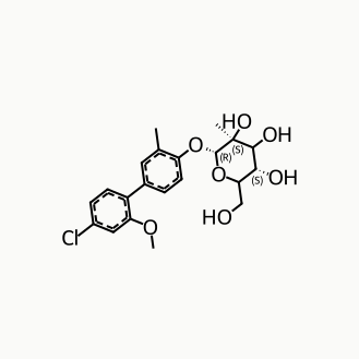 COc1cc(Cl)ccc1-c1ccc(O[C@H]2OC(CO)[C@@H](O)C(O)[C@]2(C)O)c(C)c1